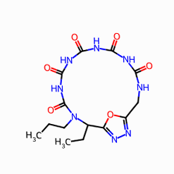 CCCN1C(=O)NC(=O)NC(=O)NC(=O)NC(=O)NCc2nnc(o2)C1CC